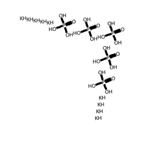 O=P(O)(O)O.O=P(O)(O)O.O=P(O)(O)O.O=P(O)(O)O.O=P(O)(O)O.[KH].[KH].[KH].[KH].[KH].[KH].[KH].[KH].[KH]